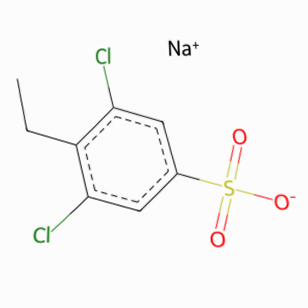 CCc1c(Cl)cc(S(=O)(=O)[O-])cc1Cl.[Na+]